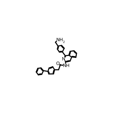 NCc1ccc(-c2nc(NC(=O)Cc3ccc(-c4ccccc4)cc3)cc3ccccc23)cc1